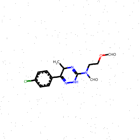 CC1N=C(N(C=O)CCOC=O)NN=C1c1ccc(Cl)cc1